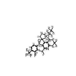 CC(C)c1nc2c(c3c1[C@@H](c1ccc(C(F)(F)F)c(F)c1)OC31CCCC1)[C@@H](O[Si](C)(C)C(C)(C)C)CC(C)(C)C2